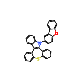 c1ccc2c(c1)Sc1ccccc1-c1c-2c2ccccc2n1-c1ccc2oc3ccccc3c2c1